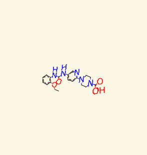 CCOc1ccccc1NC(=O)Nc1ccc(N2CCN(C(=O)O)CC2)nc1